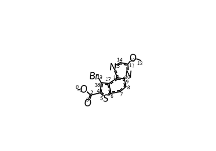 COC(=O)c1sc2ccc3nc(OC)cnc3c2c1Br